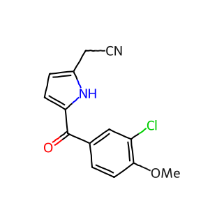 COc1ccc(C(=O)c2ccc(CC#N)[nH]2)cc1Cl